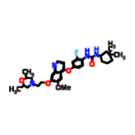 COc1cc2c(Oc3ccc(NC(=O)NC4CCCC(C)(C)C4)c(F)c3)ccnc2cc1OCCN1CC(C)OC(C)C1